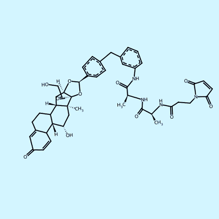 C[C@H](NC(=O)CCN1C(=O)C=CC1=O)C(=O)N[C@@H](C)C(=O)Nc1cccc(Cc2ccc([C@@H]3O[C@@H]4C[C@H]5C6CCC7=CC(=O)C=CC7[C@H]6[C@@H](O)C[C@]5(C)[C@]4(C(=O)CO)O3)cc2)c1